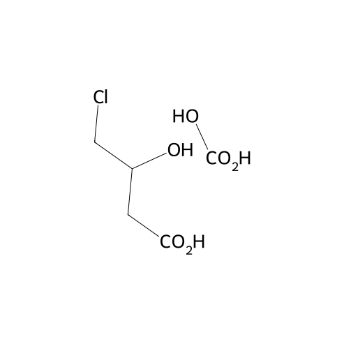 O=C(O)CC(O)CCl.O=C(O)O